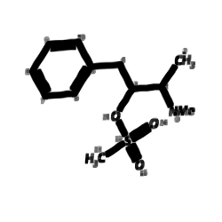 CNC(C)C(Cc1ccccc1)OS(C)(=O)=O